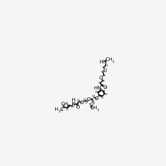 CNCCOCCOCCC(=O)Nc1cccc(OC[C@@H](OCCOCC(=O)NC/C=C/C(C)C)SSC)c1